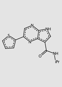 CC(C)NC(=O)c1c[nH]c2ncc(-c3cccs3)nc12